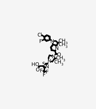 CC1(C)CN(c2ccc(Cl)c(F)c2)c2ccc(C(=O)N3CCN(c4nc(C(F)(F)F)c(C(=O)O)s4)CC3(C)C)nc21